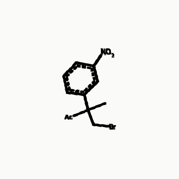 CC(=O)C(C)(CBr)c1cccc([N+](=O)[O-])c1